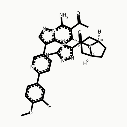 COc1ccc(-c2ccc(-c3cnn4c(N)c(C(C)=O)c([C@@H]5C[C@H]6CC[C@@H](C5)N6C(=O)c5nnc(N)[nH]5)nc34)cn2)cc1F